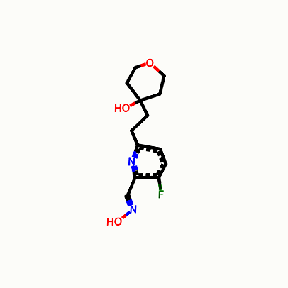 O/N=C/c1nc(CCC2(O)CCOCC2)ccc1F